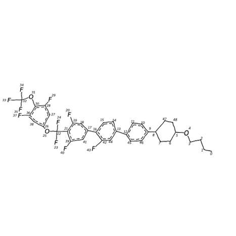 CCCCOC1CCC(c2ccc(-c3ccc(-c4cc(F)c(C(F)(F)Oc5cc(F)c(OC(F)(F)F)c(F)c5)c(F)c4)c(F)c3)cc2)CC1